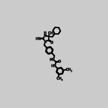 Cc1cc(C)cc(NC(=O)NCc2ccc(CN3C(=N)NC(C)(CC4CCCCC4)C3=O)cc2)c1